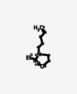 C=CCCCN1CCOCC1CC